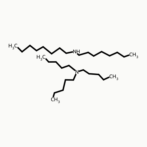 CCCCCCCCNCCCCCCCC.CCCCCN(CCCCC)CCCCC